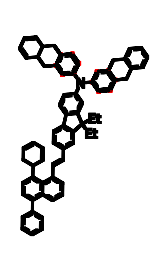 CCC1(CC)c2cc(/C=C/c3cccc4c(-c5ccccc5)ccc(C5C=CC=CC5)c34)ccc2-c2ccc(N(C3C=CC4=C(C3)C3c5ccccc5C4c4ccccc43)C3C=CC4C(C3)C3c5ccccc5C4C4C=CC=CC43)cc21